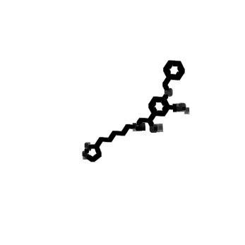 O=[N+]([O-])c1cc(C(O)CNCCCCCC2CCSS2)ccc1OCc1ccccc1